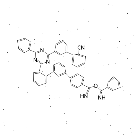 N#Cc1ccccc1-c1cccc(-c2nc(-c3ccccc3)nc(-c3ccccc3-c3cccc(-c4ccc(C(=N)OC(=N)c5ccccc5)cc4)c3)n2)c1